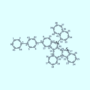 c1ccc(-c2ccc(-c3ccc4c(c3)c3c5ccccc5c5c6ccccc6sc5c3n4-c3cccc4ccccc34)cc2)cc1